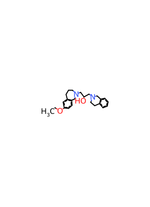 CCOc1ccc2c(c1)CCCN(C[C@@H](O)CN1CCc3ccccc3C1)C2